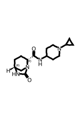 O=C(NC1CCN(C2CC2)CC1)[C@H]1CC[C@@H]2CN1C(=O)N2